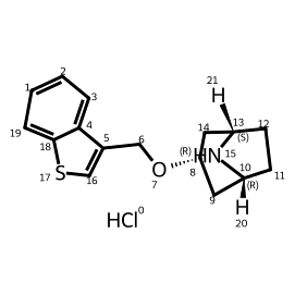 Cl.c1ccc2c(CO[C@H]3C[C@H]4CC[C@@H](C3)N4)csc2c1